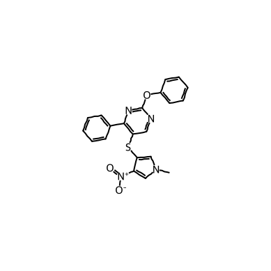 Cn1cc(Sc2cnc(Oc3ccccc3)nc2-c2ccccc2)c([N+](=O)[O-])c1